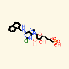 O=P(O)(O)CCCC[C@H]1O[C@@H](n2cnc3c(NCc4cccc5ccccc45)nc(Cl)nc32)C(O)C1O